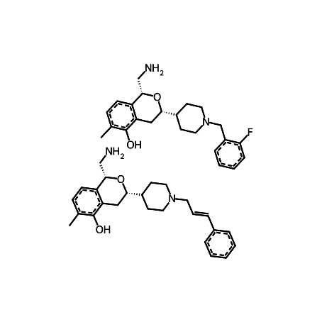 Cc1ccc2c(c1O)C[C@@H](C1CCN(CC=Cc3ccccc3)CC1)O[C@H]2CN.Cc1ccc2c(c1O)C[C@@H](C1CCN(Cc3ccccc3F)CC1)O[C@H]2CN